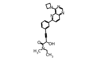 CCN(C)C(=O)[C@H](O)C#Cc1cccc(-c2ccc3ncnc(N4CCC4)c3n2)c1